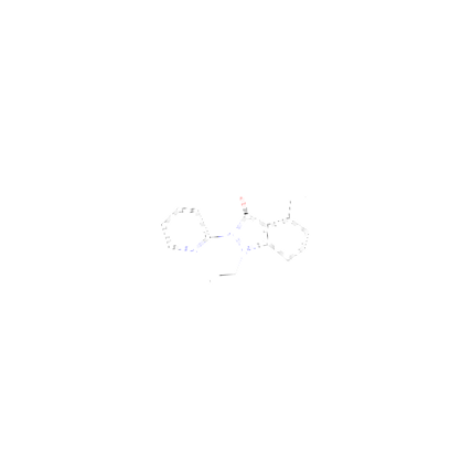 CCn1c2cccc(C)c2c(=O)n1-c1ccccn1